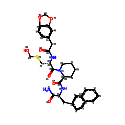 NC(=O)[C@H](Cc1ccc2ccccc2c1)NC(=O)[C@@H]1CCCCN1C(=O)[C@H](CSCO)NC(=O)Cc1ccc2c(c1)OCO2